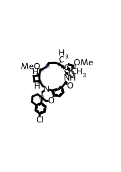 CO[C@H](C)C[C@H]1[C@@H](C)C/C=C/[C@H](OC)[C@@H]2CC[C@H]2CN2C[C@@]3(CCCc4cc(Cl)ccc43)COc3ccc(cc32)C(=O)NS1(=O)=O